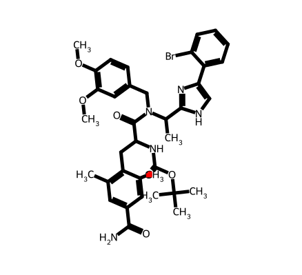 COc1ccc(CN(C(=O)C(Cc2c(C)cc(C(N)=O)cc2C)NC(=O)OC(C)(C)C)C(C)c2nc(-c3ccccc3Br)c[nH]2)cc1OC